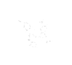 C#Cc1ccc(CN2C(c3cn(CC(=O)O)c4ccc(OC)cc34)c3ccccc3S2(=O)=O)cc1